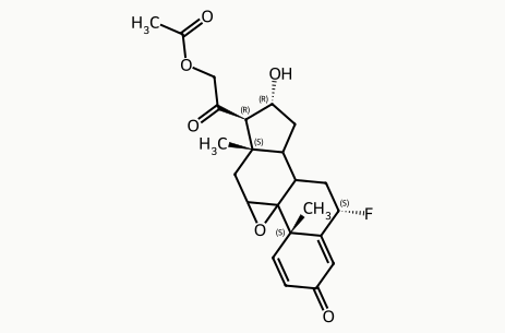 CC(=O)OCC(=O)[C@H]1[C@H](O)CC2C3C[C@H](F)C4=CC(=O)C=C[C@]4(C)C34OC4C[C@@]21C